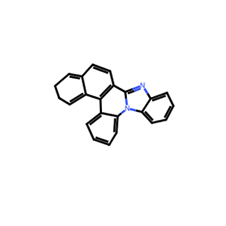 C1=c2ccc3c(c2=CCC1)c1ccccc1n1c2ccccc2nc31